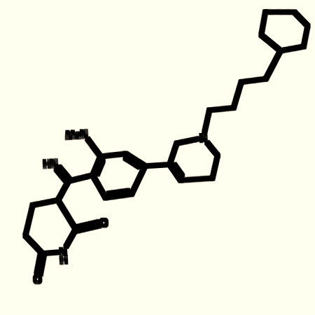 CNc1cc(C2=CCCN(CCCCC3CCCCC3)C2)ccc1C(=N)C1CCC(=O)NC1=O